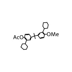 COc1ccc(C(C)(C)c2ccc(OC(C)=O)c(C3CCCCC3)c2)cc1C1CCCCC1